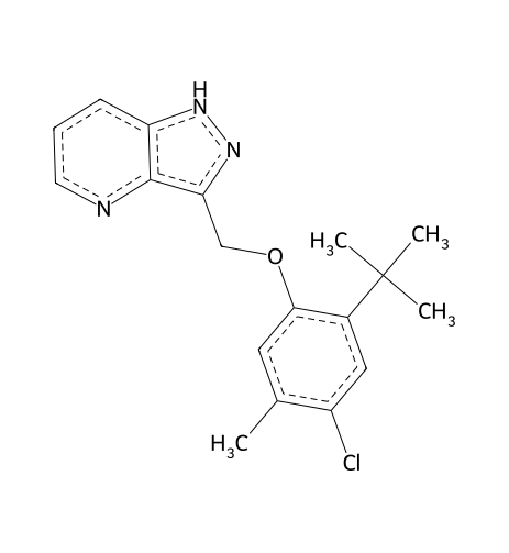 Cc1cc(OCc2n[nH]c3cccnc23)c(C(C)(C)C)cc1Cl